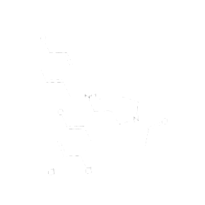 COc1ccc(COc2cc(Cl)c(Cl)cc2C(N)C2CCN(C(C)=O)C2)cc1